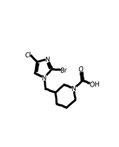 O=C(O)N1CCCC(Cn2cc(Cl)nc2Br)C1